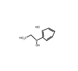 Cl.O=C(O)CN(O)c1ccccc1